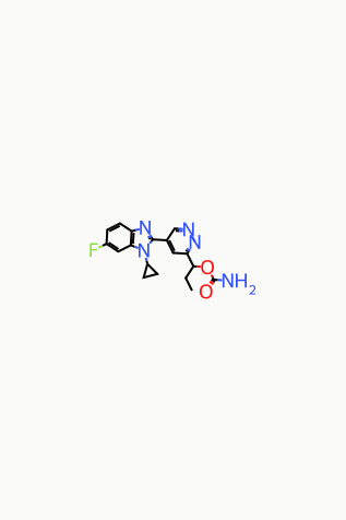 CCC(OC(N)=O)c1cc(-c2nc3ccc(F)cc3n2C2CC2)cnn1